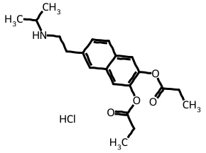 CCC(=O)Oc1cc2ccc(CCNC(C)C)cc2cc1OC(=O)CC.Cl